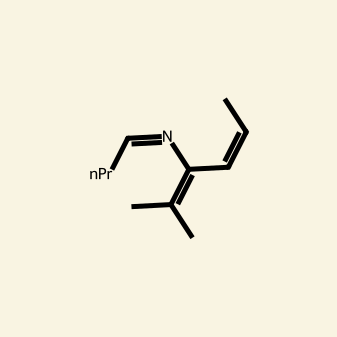 C/C=C\C(/N=C\CCC)=C(C)C